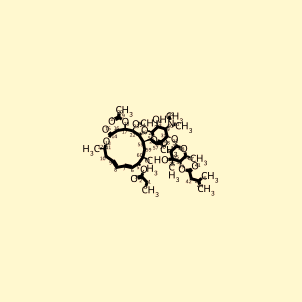 CCC(=O)O[C@H]1/C=C/C=C/C[C@@H](C)OC(=O)C[C@@H](OC(C)=O)[C@H](OC)[C@@H](O[C@@H]2O[C@H](C)[C@@H](O[C@H]3C[C@@](C)(O)[C@@H](OC(=O)CC(C)C)[C@H](C)O3)[C@H](N(C)C)[C@H]2O)[C@@H](CC=O)C[C@H]1C